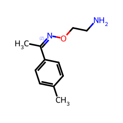 C/C(=N/OCCN)c1ccc(C)cc1